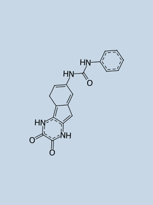 O=C(NC1=CCC2=c3[nH]c(=O)c(=O)[nH]c3=CC2=C1)Nc1ccccc1